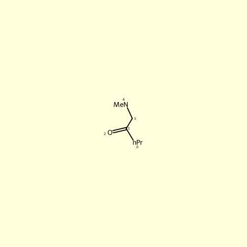 CCCC(=O)CNC